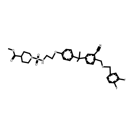 COC(=O)C1CCN(S(=O)(=O)NCCOc2ccc(C(C)(C)c3ccc(CSCc4ccc(F)c(F)c4)c(C#N)c3)cc2)CC1